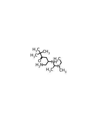 CCN(C)C(C)NC(CN)CC(=O)C(C)(C)C